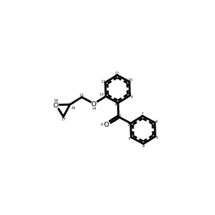 O=C(c1ccccc1)c1ccccc1OCC1CO1